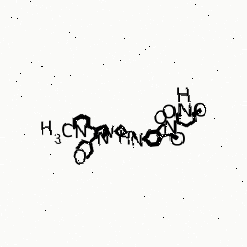 Cc1cccc(-c2cn([C@H]3C[C@H](CNc4ccc5c(c4)C(=O)N(C4CCC(=O)NC4=O)C5=O)C3)nc2C2CCOCC2)n1